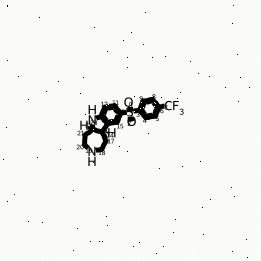 O=S(=O)(c1ccc(C(F)(F)F)cc1)c1ccc2c(c1)[C@H]1CCNCC[C@@H]1N2